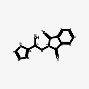 O=C1c2ccccc2C(=O)N1CC(O)c1cccs1